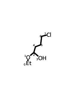 CCOC(O)CCCCl